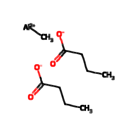 CCCC(=O)[O-].CCCC(=O)[O-].[CH3][Al+2]